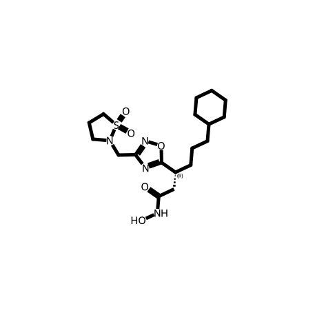 O=C(C[C@@H](CCCC1CCCCC1)c1nc(CN2CCCS2(=O)=O)no1)NO